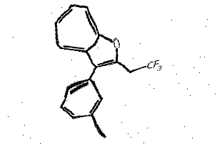 Cc1cccc(-c2c(CC(F)(F)F)oc3ccccc23)c1